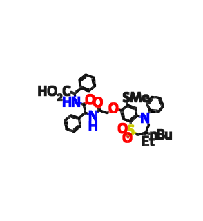 CCCCC1(CC)CN(c2ccccc2)c2cc(SC)c(OCC(=O)NC(C(=O)N[C@@H](C(=O)O)c3ccccc3)c3ccccc3)cc2S(=O)(=O)C1